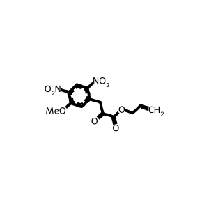 C=CCOC(=O)C(=O)Cc1cc(OC)c([N+](=O)[O-])cc1[N+](=O)[O-]